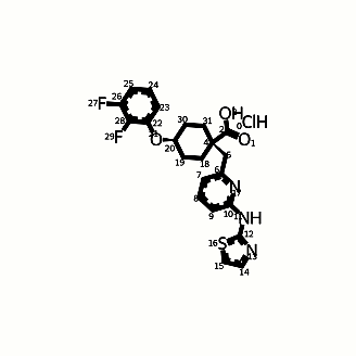 Cl.O=C(O)[C@]1(Cc2cccc(Nc3nccs3)n2)CC[C@@H](Oc2cccc(F)c2F)CC1